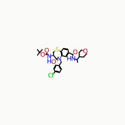 CC(NC(=O)c1ccc2c(c1)N(Cc1ccc(Cl)cc1)C(=O)[C@@H](NC(=O)OC(C)(C)C)CS2)C1CCOCC1